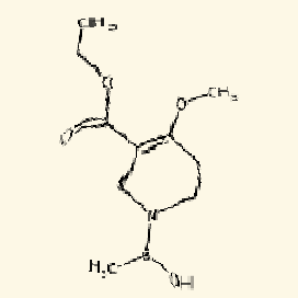 CCOC(=O)C1=C(OC)CCN(B(C)O)C1